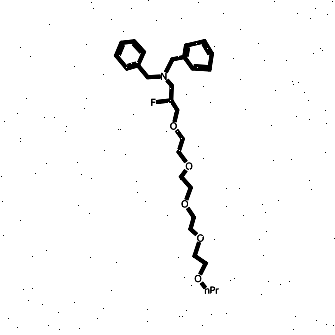 CCCOCCOCCOCCOCCOCC(F)CN(Cc1ccccc1)Cc1ccccc1